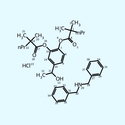 CCCC(C)(C)C(=O)Oc1ccc(C(C)O)cc1OC(=O)C(C)(C)CCC.Cl.c1ccc(CNCc2ccccc2)cc1